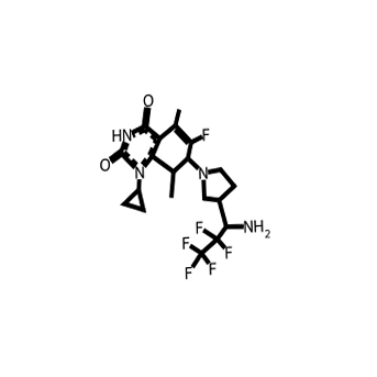 CC1=C(F)C(N2CCC(C(N)C(F)(F)C(F)(F)F)C2)C(C)c2c1c(=O)[nH]c(=O)n2C1CC1